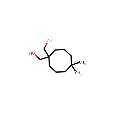 CC1(C)CCCC(CO)(CO)CCC1